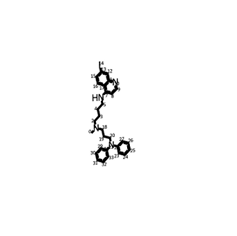 CN(CCCCNc1ccnc2cc(I)ccc12)CCCN(c1ccccc1)c1ccccc1